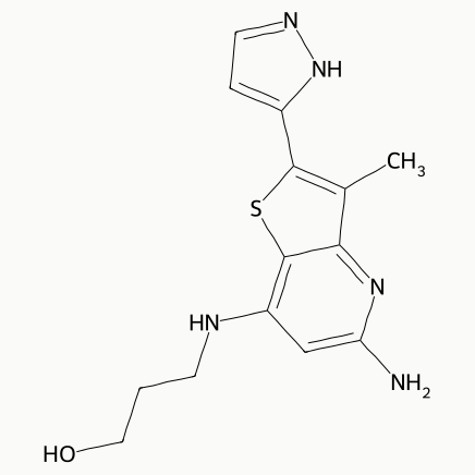 Cc1c(-c2ccn[nH]2)sc2c(NCCCO)cc(N)nc12